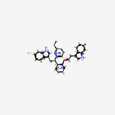 CCC1CC2C=CC1N(C(Cc1c[nH]c3cc(F)ccc13)C1C3C=CC(C1CC)N(CCCc1c[nH]c4ccccc14)C3)C2